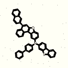 c1ccc(-c2ccc(N(c3ccc4c(c3)sc3ccccc34)c3ccc4oc5cc(-c6ccc7ccccc7c6)c6ccccc6c5c4c3)cc2)cc1